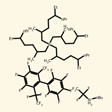 CCCC(CC)CCC(C)C[B-](CC(C)CCC(CC)CCC)(CC(C)CCC(CC)CCC)CC(C)CCC(CC)CCC.CCCC[NH2+]C(F)(F)C(F)(F)F.Fc1c(F)c(F)c(-c2c(C(F)(F)F)c(F)c(F)c(F)c2C(F)(F)C(F)(F)F)c(F)c1F